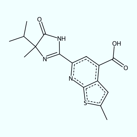 Cc1cc2c(C(=O)O)cc(C3=NC(C)(C(C)C)C(=O)N3)nc2s1